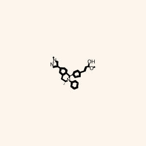 COC(O)/C=C/c1ccc([C@@H]2c3ccc(-c4cnn(C)c4)cc3C[C@@H](C)N2c2ccccc2)cc1